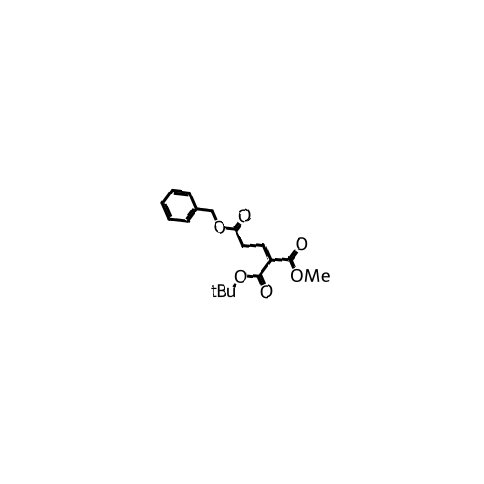 COC(=O)C(CCC(=O)OCc1ccccc1)C(=O)OC(C)(C)C